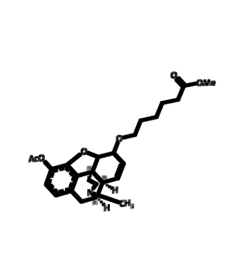 COC(=O)CCCCCOC1C=C[C@H]2[C@H]3Cc4ccc(OC(C)=O)c5c4[C@@]2(CCN3C)C1O5